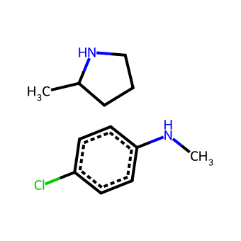 CC1CCCN1.CNc1ccc(Cl)cc1